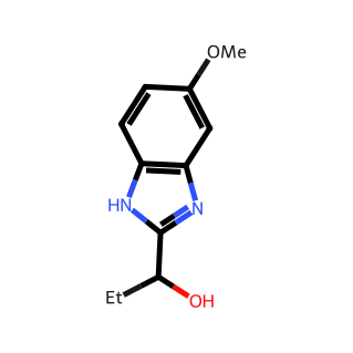 CCC(O)c1nc2cc(OC)ccc2[nH]1